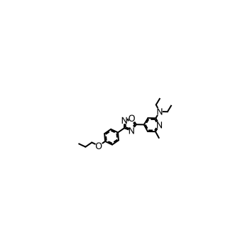 CCCOc1ccc(-c2noc(-c3cc(C)nc(N(CC)CC)c3)n2)cc1